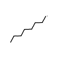 [CH]CCCCCCC